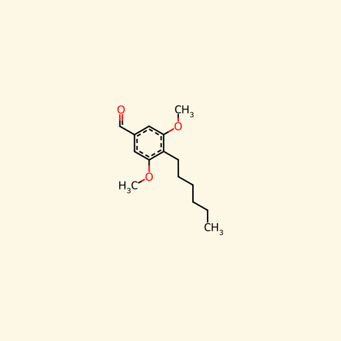 CCCCCCc1c(OC)cc(C=O)cc1OC